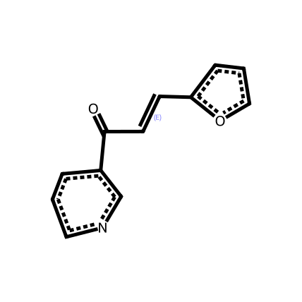 O=C(/C=C/c1ccco1)c1cccnc1